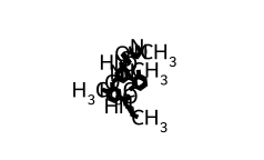 CCCNC(=O)c1ccc(C)c(Oc2cc(-c3c(C)cccc3C)nc(NS(=O)(=O)c3cnn(C)c3)n2)c1